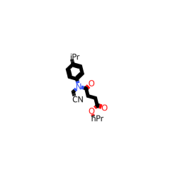 CCCOC(=O)CCC(=O)N(CC#N)c1ccc(C(C)C)cc1